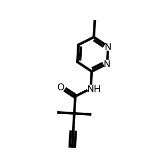 C#CC(C)(C)C(=O)Nc1ccc(C)nn1